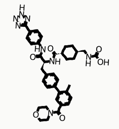 Cc1ccc(C(=O)N2CCOCC2)cc1-c1ccc(C[C@H](NC(=O)[C@H]2CC[C@H](CNC(=O)O)CC2)C(=O)Nc2ccc(-c3nn[nH]n3)cc2)cc1